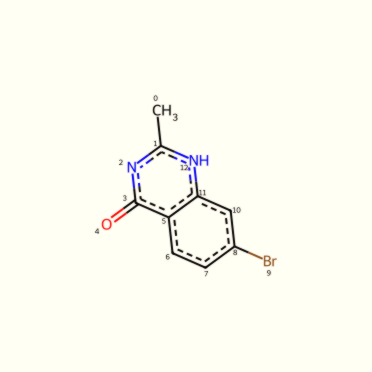 Cc1nc(=O)c2ccc(Br)cc2[nH]1